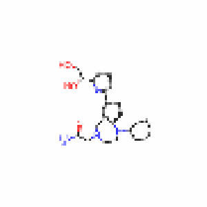 NC(=O)CN1CCN(C2CCCCC2)c2ccc(-c3cccc(C(O)CO)n3)cc2C1